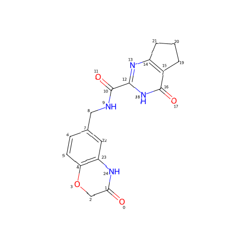 O=C1COc2ccc(CNC(=O)c3nc4c(c(=O)[nH]3)CCC4)cc2N1